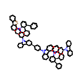 c1ccc(-c2ccccc2-c2c(-c3ccccc3)cccc2N(c2ccc(-n3c4ccccc4c4cc(-c5ccc(-n6c7ccccc7c7c(N(c8ccc(-n9c%10ccccc%10c%10ccccc%109)cc8)c8cccc(-c9ccccc9)c8-c8ccccc8-c8ccccc8)cccc76)cc5)ccc43)cc2)c2cccc3c2sc2ccccc23)cc1